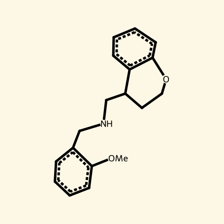 COc1ccccc1CNCC1CCOc2ccccc21